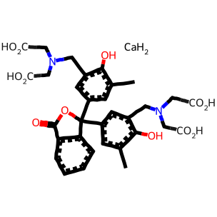 Cc1cc(C2(c3cc(C)c(O)c(CN(CC(=O)O)CC(=O)O)c3)OC(=O)c3ccccc32)cc(CN(CC(=O)O)CC(=O)O)c1O.[CaH2]